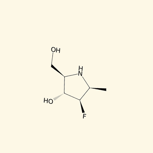 C[C@@H]1N[C@H](CO)[C@@H](O)[C@@H]1F